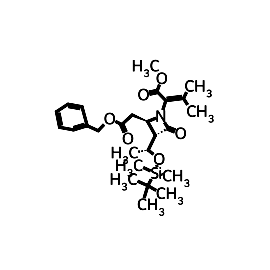 COC(=O)C(=C(C)C)N1C(=O)[C@H]([C@@H](C)O[Si](C)(C)C(C)(C)C)[C@H]1CC(=O)OCc1ccccc1